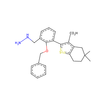 CC1(C)CCc2sc(-c3cccc(CNN)c3OCc3ccccc3)c(C(=O)O)c2C1